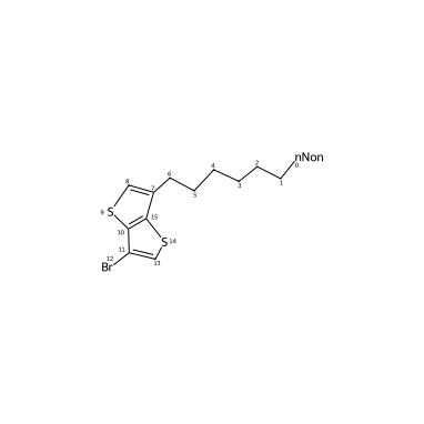 CCCCCCCCCCCCCCCc1csc2c(Br)csc12